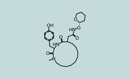 CN1CCCCCCCCCC(CC(=O)NO[C@H]2CCCCO2)C(=O)NC(Cc2ccc(O)cc2)C1=O